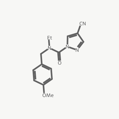 CCN(Cc1ccc(OC)cc1)C(=O)n1cc(C#N)cn1